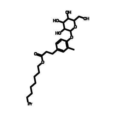 Cc1cc(CCC(=O)OCCCCCCCC(C)C)ccc1OC1OC(CO)C(O)C(O)C1O